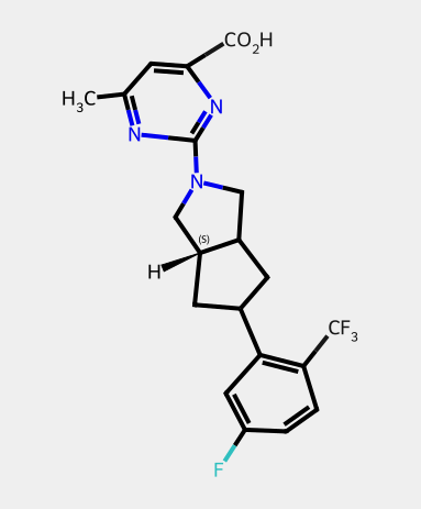 Cc1cc(C(=O)O)nc(N2CC3CC(c4cc(F)ccc4C(F)(F)F)C[C@@H]3C2)n1